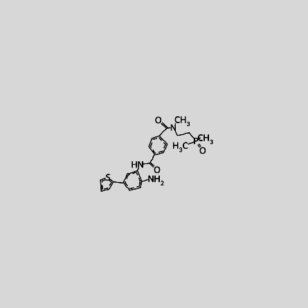 CN(CCP(C)(C)=O)C(=O)c1ccc(C(=O)Nc2cc(-c3cccs3)ccc2N)cc1